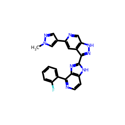 Cn1cc(-c2cc3c(-c4nc5c(-c6ccccc6F)nccc5[nH]4)n[nH]c3cn2)cn1